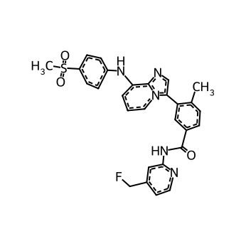 Cc1ccc(C(=O)Nc2cc(CF)ccn2)cc1-c1cnc2c(Nc3ccc(S(C)(=O)=O)cc3)cccn12